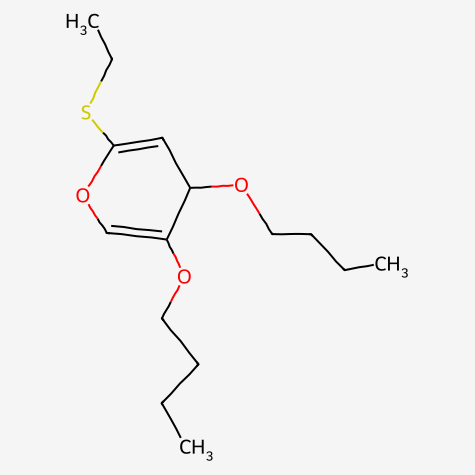 CCCCOC1=COC(SCC)=CC1OCCCC